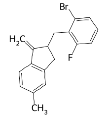 C=C1c2ccc(C)cc2CC1Cc1c(F)cccc1Br